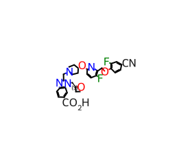 N#Cc1ccc(OCc2nc(OC3CCN(Cc4nc5ccc(C(=O)O)cc5n4C[C@@H]4CCO4)CC3)ccc2F)c(F)c1